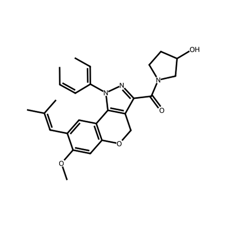 C/C=C\C(=C/C)n1nc(C(=O)N2CCC(O)C2)c2c1-c1cc(C=C(C)C)c(OC)cc1OC2